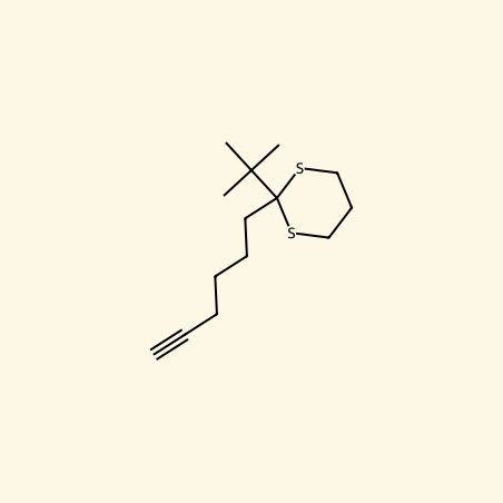 C#CCCCCC1(C(C)(C)C)SCCCS1